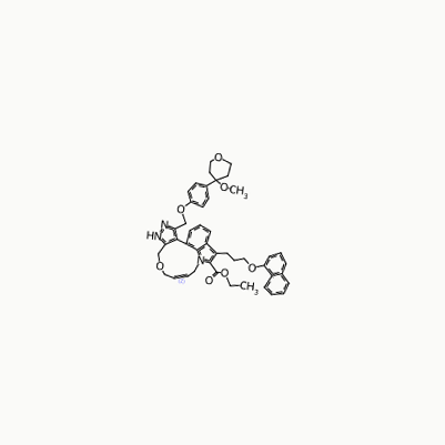 CCOC(=O)c1c(CCCOc2cccc3ccccc23)c2cccc3c2n1C/C=C\COCc1[nH]nc(COc2ccc(C4(OC)CCOCC4)cc2)c1-3